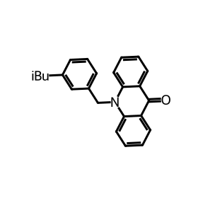 CCC(C)c1cccc(Cn2c3ccccc3c(=O)c3ccccc32)c1